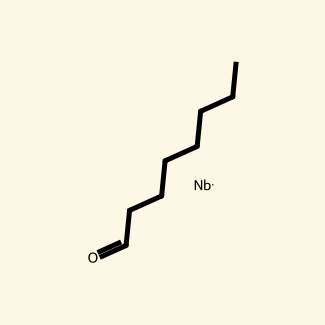 CCCCCCCC=O.[Nb]